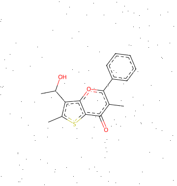 Cc1sc2c(=O)c(C)c(-c3ccccc3)oc2c1C(C)O